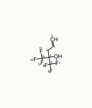 [CH]=CCC(O)(C(F)(F)F)C(F)(F)F